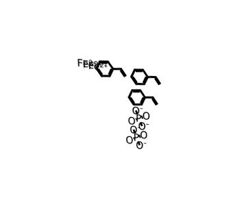 C=Cc1ccccc1.C=Cc1ccccc1.C=Cc1ccccc1.O=P([O-])([O-])[O-].O=P([O-])([O-])[O-].[Fe+2].[Fe+2].[Fe+2]